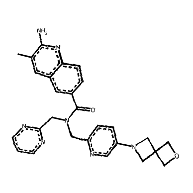 Cc1cc2cc(C(=O)N(Cc3ccc(N4CC5(COC5)C4)cn3)Cc3ncccn3)ccc2nc1N